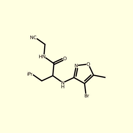 Cc1onc(NC(CC(C)C)C(=O)NCC#N)c1Br